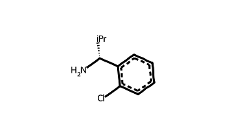 CC(C)[C@@H](N)c1ccccc1Cl